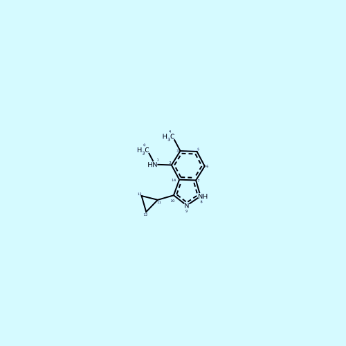 CNc1c(C)ccc2[nH]nc(C3CC3)c12